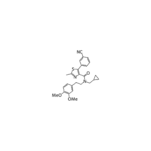 COc1ccc(CCN(CC2CC2)C(=O)c2nc(C)sc2-c2cccc(C#N)c2)cc1OC